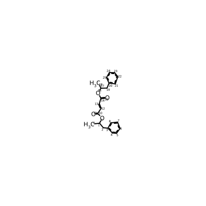 CC(Cc1ccccc1)OC(=O)/C=C/C(=O)OC(C)Cc1ccccc1